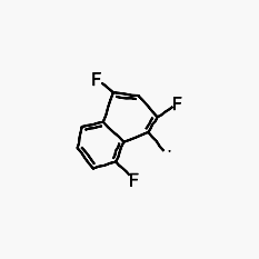 [CH2]c1c(F)cc(F)c2cccc(F)c12